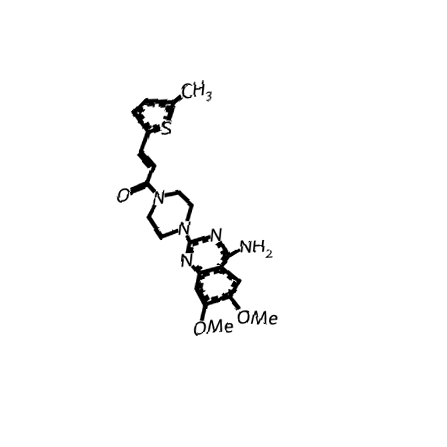 COc1cc2nc(N3CCN(C(=O)C=Cc4ccc(C)s4)CC3)nc(N)c2cc1OC